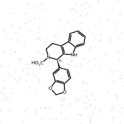 O=C(O)N1CCc2c([nH]c3ccccc23)[C@H]1c1ccc2c(c1)OCO2